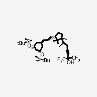 C[C@H](CC#CC(O)(C(F)(F)F)C(F)(F)F)[C@@]1(C)CC[C@@H](/C=C/C=C2C[C@@H](O[Si](C)(C)C(C)(C)C)C[C@H](O[Si](C)(C)C(C)(C)C)C2)C1(C)C